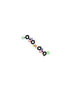 Clc1cccc(-c2nc3ccc(SOSc4ccc5nc(-c6cccc(Cl)c6)oc5c4)cc3o2)c1